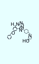 Nc1nccn2c(C3CCC(CN4CCC(O)C4)CC3)nc(-c3cccc(OCc4ccccc4)c3)c12